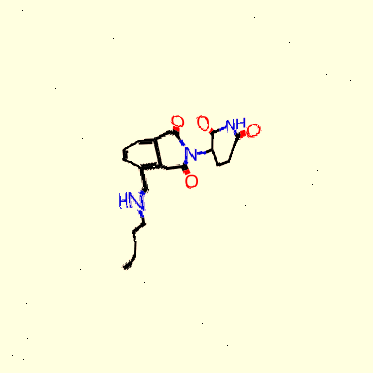 CCCCNCc1cccc2c1C(=O)N(C1CCC(=O)NC1=O)C2=O